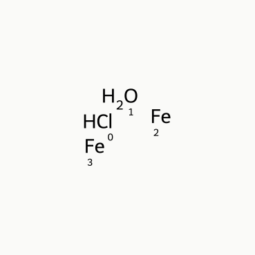 Cl.O.[Fe].[Fe]